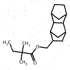 CCC(C)(C)C(=O)OCC1CC2CC1C1C3CCC(C3)C21